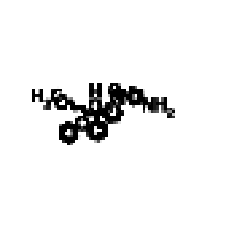 COCCCC[C@@](O)(c1ccccc1Oc1ccccc1)C1CCCN(C(=O)N2CCC(N)C2)C1